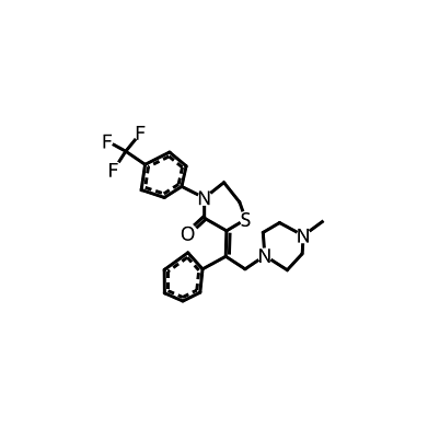 CN1CCN(CC(=C2SCCN(c3ccc(C(F)(F)F)cc3)C2=O)c2ccccc2)CC1